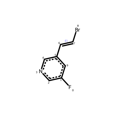 Fc1[c]ncc(/C=C/Br)c1